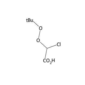 CC(C)(C)OOC(Cl)C(=O)O